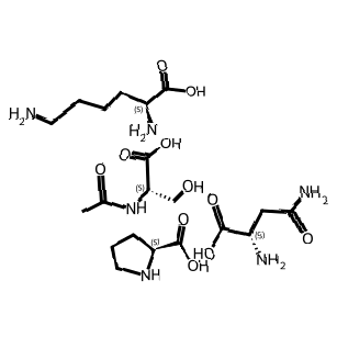 CC(=O)N[C@@H](CO)C(=O)O.NC(=O)C[C@H](N)C(=O)O.NCCCC[C@H](N)C(=O)O.O=C(O)[C@@H]1CCCN1